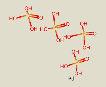 O=P(O)(O)O.O=P(O)(O)O.O=P(O)(O)O.O=P(O)(O)O.[Pd]